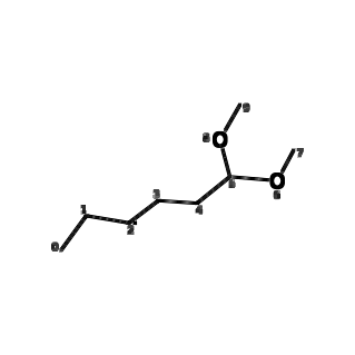 CC[CH]CCC(OC)OC